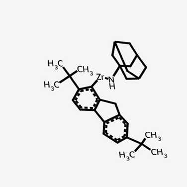 CC(C)(C)c1ccc2c(c1)Cc1c-2ccc(C(C)(C)C)[c]1[Zr][NH]C12CC3CC(CC(C3)C1)C2